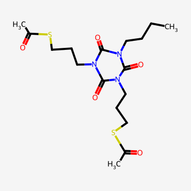 CCCCn1c(=O)n(CCCSC(C)=O)c(=O)n(CCCSC(C)=O)c1=O